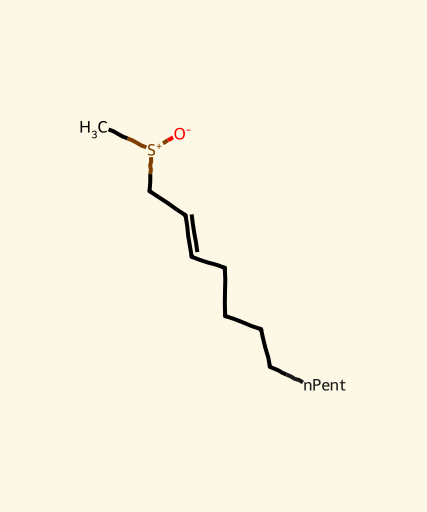 CCCCCCCCCC=CC[S+](C)[O-]